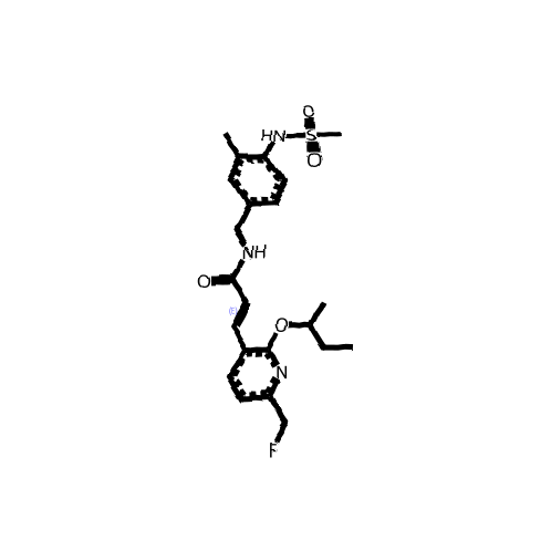 CCC(C)Oc1nc(CF)ccc1/C=C/C(=O)NCc1ccc(NS(C)(=O)=O)c(C)c1